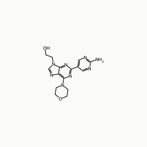 Nc1ncc(-c2nc(N3CCOCC3)c3ncn(CCO)c3n2)cn1